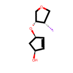 O[C@@H]1C=C[C@H](O[C@@H]2COC[C@@H]2I)C1